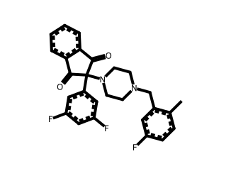 Cc1ccc(F)cc1CN1CCN(C2(c3cc(F)cc(F)c3)C(=O)c3ccccc3C2=O)CC1